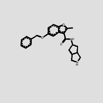 Cc1oc2ccc(OCc3ccccc3)cc2c1C(=O)NC1CC2CNCC2C1